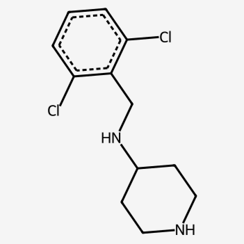 Clc1cccc(Cl)c1CNC1CCNCC1